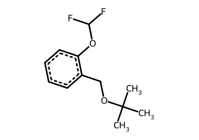 CC(C)(C)OCc1ccccc1OC(F)F